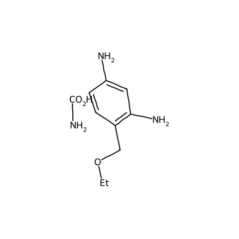 CCOCc1ccc(N)cc1N.NC(=O)O